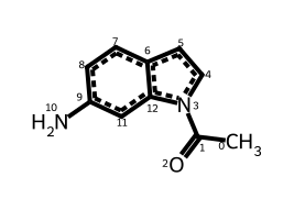 CC(=O)n1ccc2ccc(N)cc21